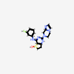 [O-][S+]1CCc2nc(N3CCn4ccnc4C3)nc(Nc3cccc(F)c3)c21